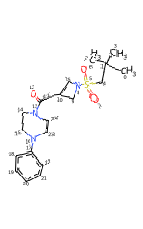 CC(C)(C)CS(=O)(=O)N1CC(C(=O)N2CCN(c3ccccc3)CC2)C1